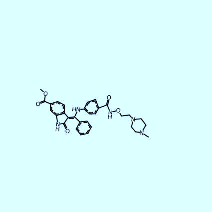 COC(=O)c1ccc2c(c1)NC(=O)/C2=C(/Nc1ccc(C(=O)NOCCN2CCN(C)CC2)cc1)c1ccccc1